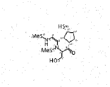 CSN/C=C\N(SC)C(CO)C(=O)[C@H]1CC[C@@H](S)C1